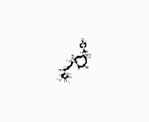 CC[C@H](O)[C@@H](C)C1(C)O[C@@H]1C[C@@](C)(O)/C=C/C=C(\C)[C@H]1OC(=O)C[C@H](O)CC[C@@](C)(OC)[C@@H](OC(=O)N2CCN(C)CC2)/C=C/[C@@H]1C